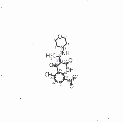 C/C(NN1CCOCC1)=C(/C(=O)O)C(=O)c1cc([N+](=O)[O-])ccc1Cl